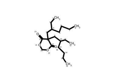 CCCCC(CC)CC1(CC(CC)CCCC)C(=O)OCOC1=O